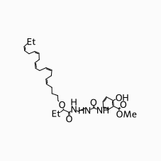 CC/C=C\C/C=C\C/C=C\C/C=C\C/C=C\CCCCOC(CC)C(=O)NCCNC(=O)Nc1ccc(O)c(C(=O)OC)c1